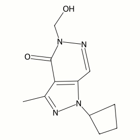 Cc1nn(C2CCC2)c2cnn(CO)c(=O)c12